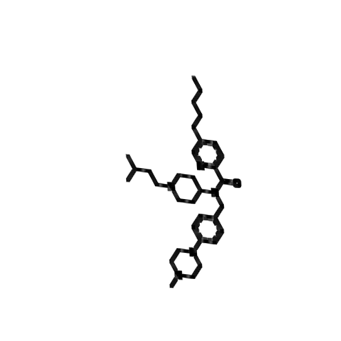 CCCCCc1ccc(C(=O)N(Cc2ccc(N3CCN(C)CC3)cc2)C2CCN(CCC(C)C)CC2)nc1